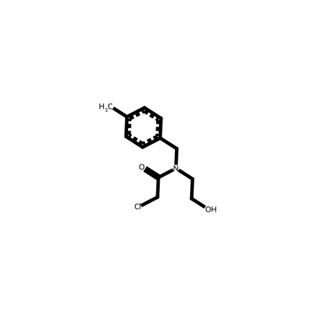 Cc1ccc(CN(CCO)C(=O)CCl)cc1